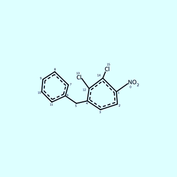 O=[N+]([O-])c1ccc(Cc2ccccc2)c(Cl)c1Cl